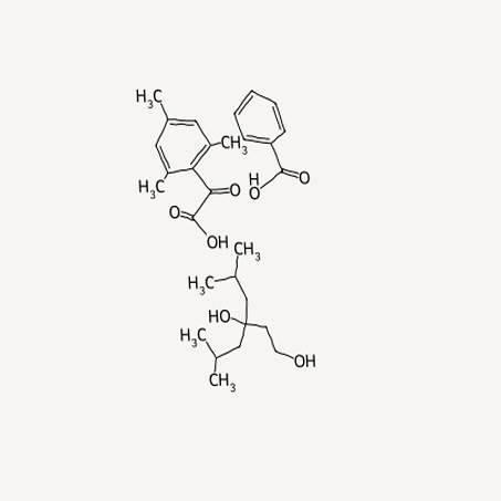 CC(C)CC(O)(CCO)CC(C)C.Cc1cc(C)c(C(=O)C(=O)O)c(C)c1.O=C(O)c1ccccc1